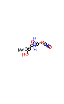 COc1cc(C2=CC3=C(CC2)C(=O)Nc2cc(CCOc4ccc(N5CCOCC5)cc4)ccc2N3)ccc1CCO